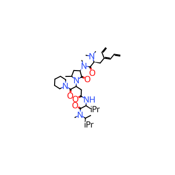 C=C/C=C(\C=C)C[C@@H](C(=O)N(C)[C@H]1CC(C)N(C(CC(=O)NC(C(=O)N(C)C(C)C(C)C)C(C)C)C(=O)N2CCCCC2)C1=O)N(C)C